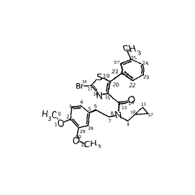 COc1ccc(CCN(CC2CC2)C(=O)c2nc(Br)sc2-c2cccc(C)c2)cc1OC